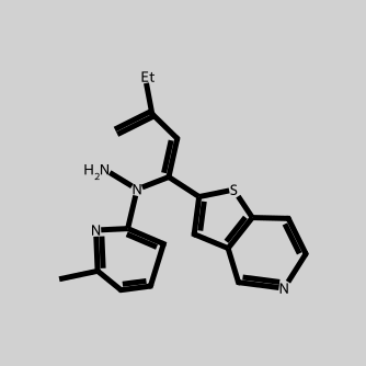 C=C(/C=C(/c1cc2cnccc2s1)N(N)c1cccc(C)n1)CC